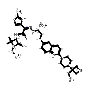 CC1(C)[C@H](NC(=O)/C(=N\O[C@@H](COc2ccc3nc(N4CCN(C5(CN)CNC5)CC4)ccc3c2)C(=O)O)c2csc(N)n2)C(=O)N1OS(=O)(=O)O